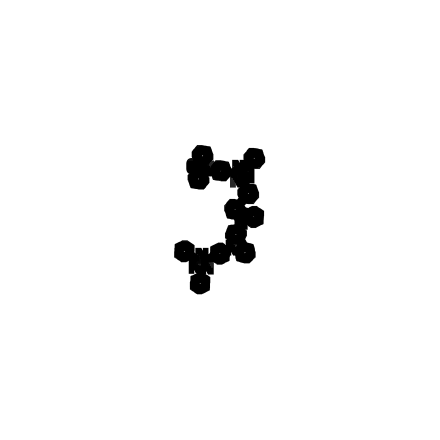 c1ccc(-c2nc(-c3ccccc3)nc(-c3ccc(-n4c5ccccc5c5cc(-n6c7ccccc7c7c(-c8cccc(-c9nc(-c%10ccccc%10)nc(-c%10ccc(N%11c%12ccccc%12Oc%12ccccc%12%11)cc%10)n9)c8)cccc76)ccc54)cc3)n2)cc1